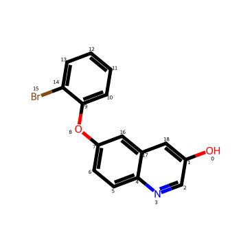 Oc1cnc2ccc(Oc3ccccc3Br)cc2c1